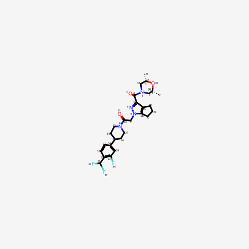 C[C@@H]1CN(C(=O)c2nn(CC(=O)N3CCC(c4ccc(C(F)F)c(F)c4)CC3)c3c2CCC3)C[C@H](C)O1